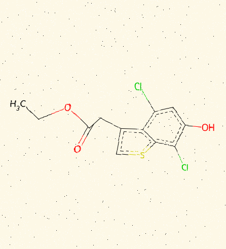 CCOC(=O)Cc1csc2c(Cl)c(O)cc(Cl)c12